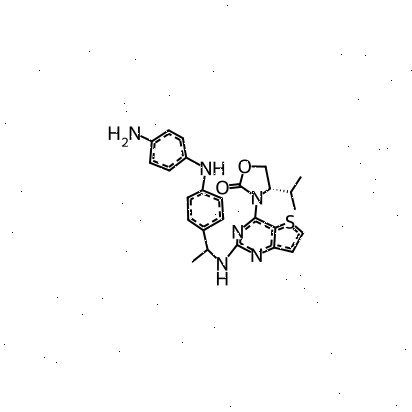 CC(Nc1nc(N2C(=O)OC[C@@H]2C(C)C)c2sccc2n1)c1ccc(Nc2ccc(N)cc2)cc1